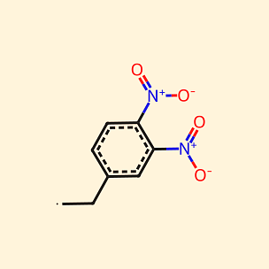 [CH2]Cc1ccc([N+](=O)[O-])c([N+](=O)[O-])c1